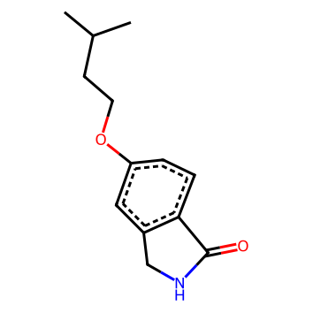 CC(C)CCOc1ccc2c(c1)CNC2=O